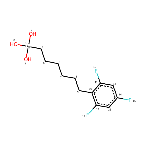 O[Si](O)(O)CCCCCCc1c(F)cc(F)cc1F